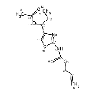 C=CCOC(=O)Nc1nc(C(CC)OC(C)=O)cs1